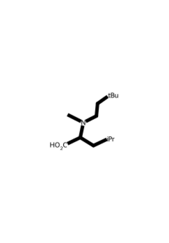 CC(C)CC(C(=O)O)N(C)CCC(C)(C)C